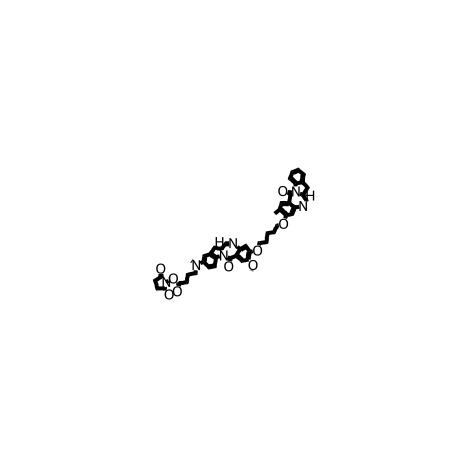 COc1cc2c(cc1OCCCCCOc1cc3c(cc1C)C(=O)N1c4ccccc4C[C@H]1C=N3)N=C[C@@H]1Cc3cc(N(C)CCCC(=O)ON4C(=O)CCC4=O)ccc3N1C2=O